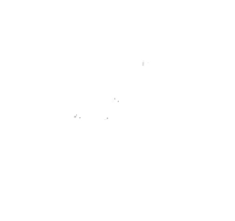 CC(C)CC(C)NC(=O)N=O